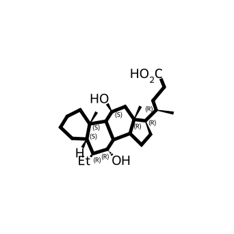 CC[C@H]1[C@@H](O)C2C3CC[C@H]([C@H](C)CCC(=O)O)[C@@]3(C)C[C@H](O)C2[C@@]2(C)CCCC[C@@H]12